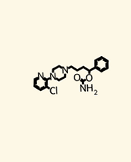 NC(=O)OC(CCCN1CCN(c2ncccc2Cl)CC1)c1ccccc1